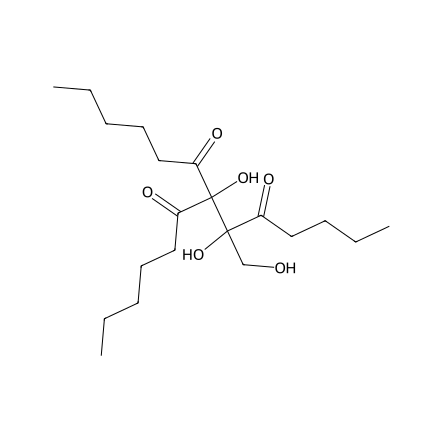 CCCCCC(=O)C(O)(C(=O)CCCCC)C(O)(CO)C(=O)CCCC